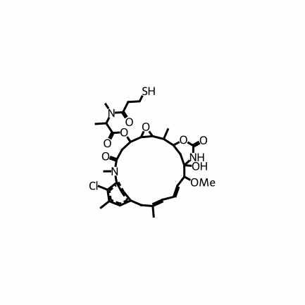 COC1/C=C/C=C(\C)Cc2cc(C)c(Cl)c(c2)N(C)C(=O)CC(OC(=O)C(C)N(C)C(=O)CCS)C2OC2C(C)C2CC1(O)NC(=O)O2